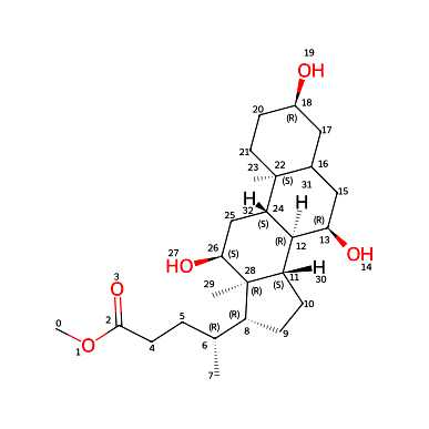 COC(=O)CC[C@@H](C)[C@H]1CC[C@H]2[C@@H]3[C@H](O)CC4C[C@H](O)CC[C@]4(C)[C@H]3C[C@H](O)[C@]12C